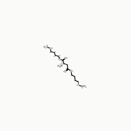 N[C@@H](CC(=O)OCCCCO[N+](=O)[O-])C(=O)OCCCCO[N+](=O)[O-]